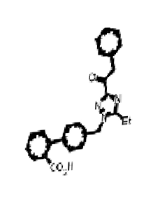 CCc1nc(C(=O)Cc2ccccc2)nn1Cc1ccc(-c2ccccc2C(=O)O)cc1